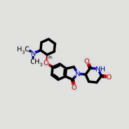 CN(C)C1CCCC[C@H]1Oc1ccc2c(c1)CN(C1CCC(=O)NC1=O)C2=O